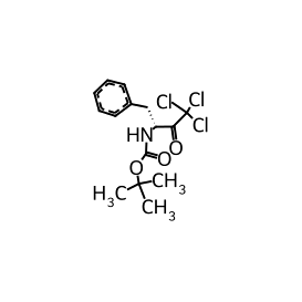 CC(C)(C)OC(=O)N[C@H](Cc1ccccc1)C(=O)C(Cl)(Cl)Cl